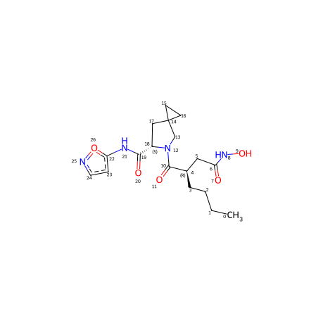 CCCC[C@H](CC(=O)NO)C(=O)N1CC2(CC2)C[C@H]1C(=O)Nc1ccno1